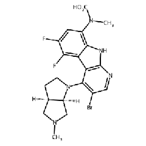 CN1C[C@H]2CCN(c3c(Br)cnc4[nH]c5c(N(C)C(=O)O)cc(F)c(F)c5c34)[C@H]2C1